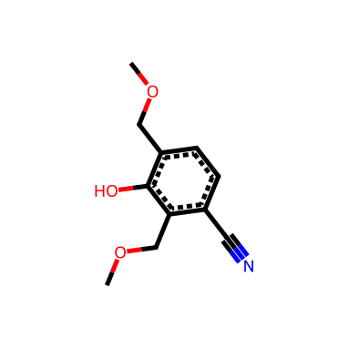 COCc1ccc(C#N)c(COC)c1O